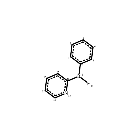 FB(c1ccccc1)c1ccccn1